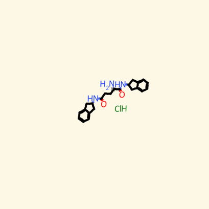 Cl.N[C@@H](CCC(=O)NC1Cc2ccccc2C1)C(=O)NC1Cc2ccccc2C1